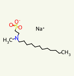 CCCCCCCCCCCCN(C)CCS(=O)(=O)[O-].[Na+]